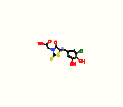 O=C(O)CN1C(=O)/C(=C/c2cc(O)c(O)c(Cl)c2)SC1=S